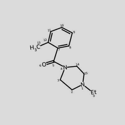 CCN1CCN(C(=O)c2cc[c]cc2C)CC1